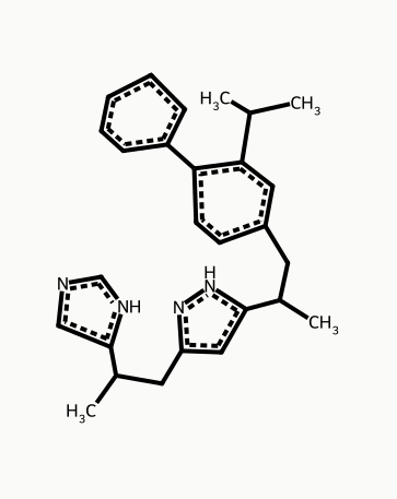 CC(C)c1cc(CC(C)c2cc(CC(C)c3cnc[nH]3)n[nH]2)ccc1-c1ccccc1